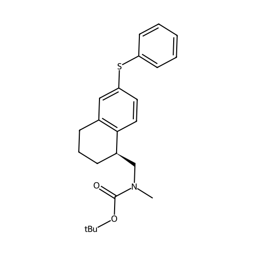 CN(C[C@H]1CCCc2cc(Sc3ccccc3)ccc21)C(=O)OC(C)(C)C